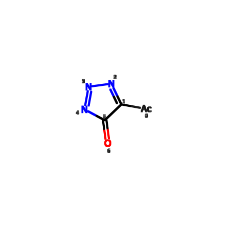 CC(=O)C1=NN=NC1=O